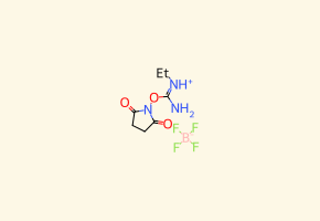 CC/[NH+]=C(/N)ON1C(=O)CCC1=O.F[B-](F)(F)F